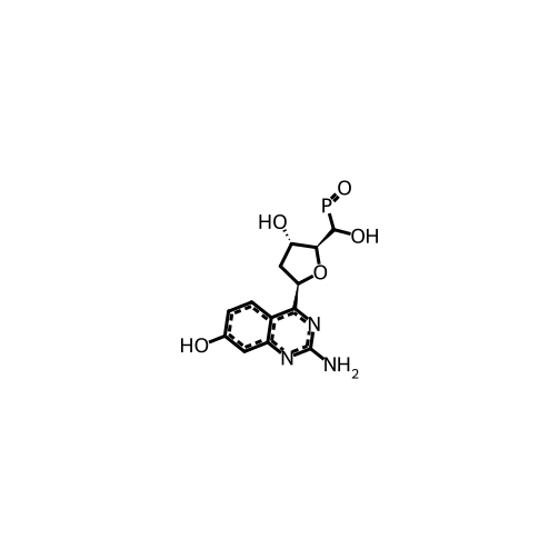 Nc1nc([C@H]2C[C@H](O)[C@@H](C(O)P=O)O2)c2ccc(O)cc2n1